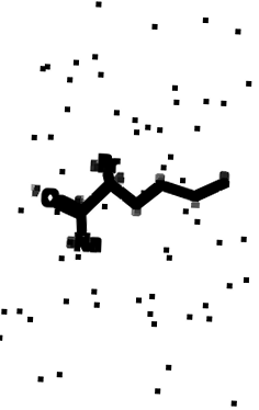 CCCCC(Br)[C](=O)[Na]